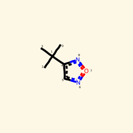 CC(C)(C)c1cnon1